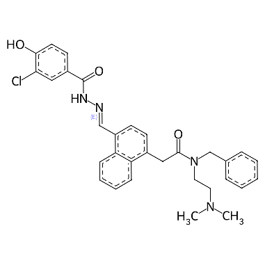 CN(C)CCN(Cc1ccccc1)C(=O)Cc1ccc(/C=N/NC(=O)c2ccc(O)c(Cl)c2)c2ccccc12